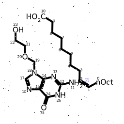 CCCCCCCC/C=C\CCCCCCCC(=O)O.Nc1nc2c(ncn2COCCO)c(=O)[nH]1